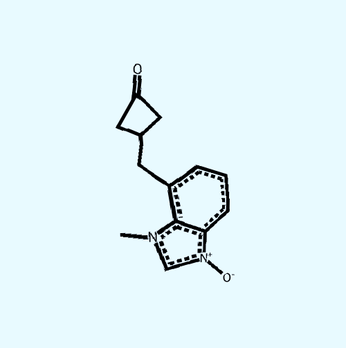 Cn1c[n+]([O-])c2cccc(CC3CC(=O)C3)c21